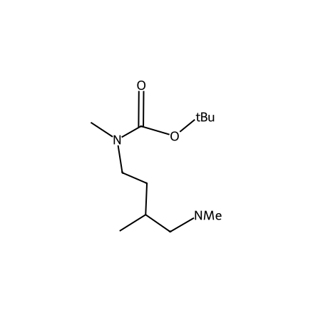 CNCC(C)CCN(C)C(=O)OC(C)(C)C